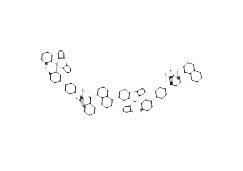 c1ccc2c(c1)Oc1ccc(-c3ccc(-c4nc(-c5cccc6c(-c7ccc8c(c7)C7(c9ccccc9Oc9ccc(-c%10ccc(-c%11ccc(-c%12cccc%13ccccc%12%13)nn%11)cc%10)cc97)c7ccccc7-8)cccc56)c5ccccc5n4)cc3)cc1C21c2ccccc2-c2ccccc21